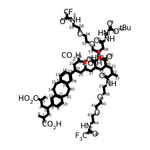 CC(CC(CC(C)C(=O)O)c1ccc2c(c1)CCc1ccc(C(CC(C)C(=O)O)CC(CC(CC(CC(C)C(=O)NCCOCCOCCNC(=O)C(F)(F)F)C(=O)NCCOCCOCCNC(=O)C(F)(F)F)C(=O)NCCC(=O)NNC(=O)OC(C)(C)C)C(=O)O)cc1CC2)C(=O)O